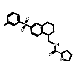 O=C(NC[C@@H]1CCCc2cc(S(=O)(=O)c3cccc(F)c3)ccc21)[C@H]1CCCN1